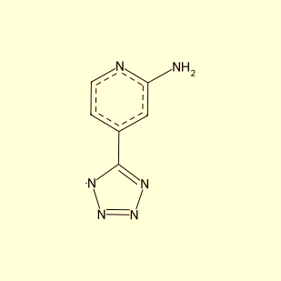 Nc1cc(C2=NN=N[N]2)ccn1